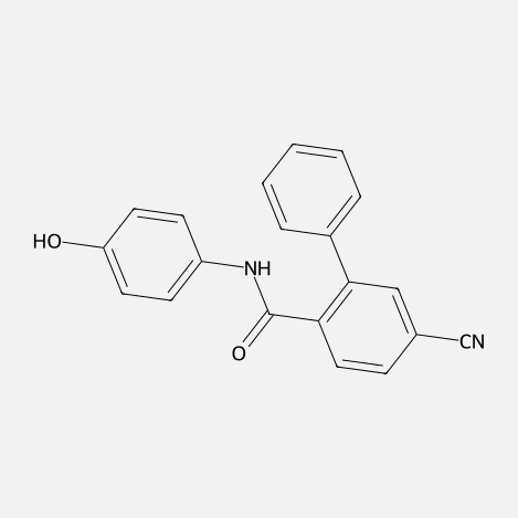 N#Cc1ccc(C(=O)Nc2ccc(O)cc2)c(-c2ccccc2)c1